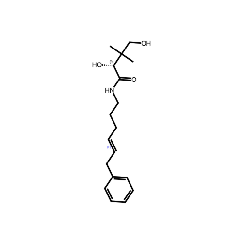 CC(C)(CO)[C@@H](O)C(=O)NCCC/C=C/Cc1ccccc1